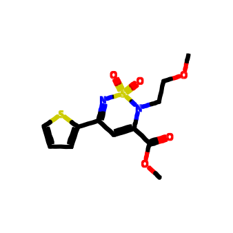 COCCN1C(C(=O)OC)=CC(c2cccs2)=NS1(=O)=O